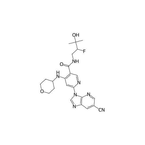 CC(C)(O)C(F)CNC(=O)c1cnc(-n2cnc3cc(C#N)cnc32)cc1NC1CCOCC1